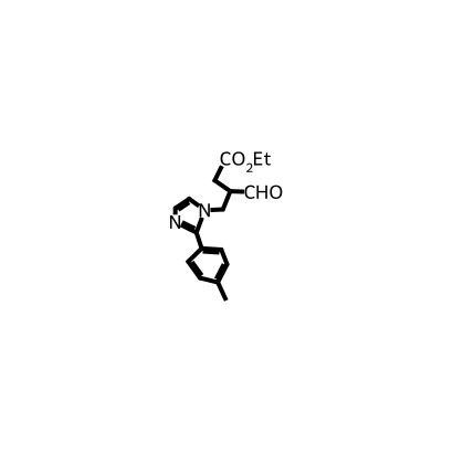 CCOC(=O)CC(C=O)Cn1ccnc1-c1ccc(C)cc1